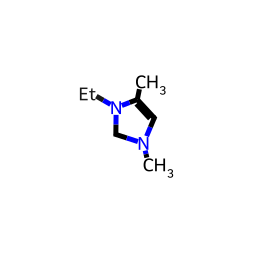 CCN1CN(C)C=C1C